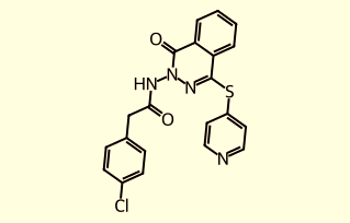 O=C(Cc1ccc(Cl)cc1)Nn1nc(Sc2ccncc2)c2ccccc2c1=O